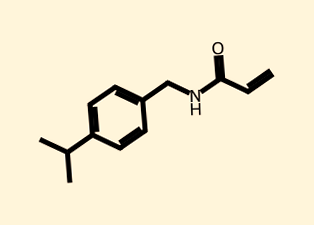 C=CC(=O)NCc1ccc(C(C)C)cc1